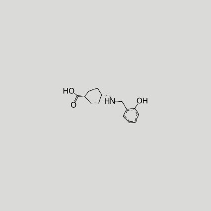 O=C(O)[C@H]1CC[C@H](CNCc2ccccc2O)CC1